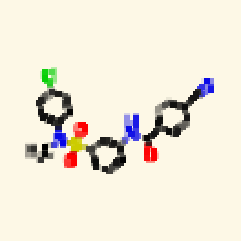 CN(c1ccc(Cl)cc1)S(=O)(=O)c1cccc(NC(=O)c2ccc(C#N)cc2)c1